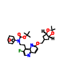 CC(C)(C)OC(=O)N(CCc1c(F)cnc2ccc(OCC3C[C@@H]4OC(C)(C)O[C@@H]4C3)nc12)C12CCC(CC1)OC2